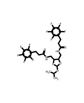 CC(C)OC1OC(CNC(=O)CCc2c(F)c(F)c(F)c(F)c2F)C(CNC(=O)CCc2c(F)c(F)c(F)c(F)c2F)O1